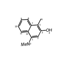 CNc1cc(O)c(C)c2ccccc12